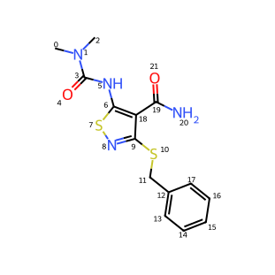 CN(C)C(=O)Nc1snc(SCc2ccccc2)c1C(N)=O